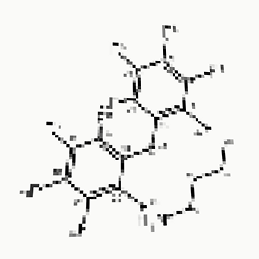 CCCCN.Fc1c(F)c(F)c([B]c2c(F)c(F)c(F)c(F)c2F)c(F)c1F